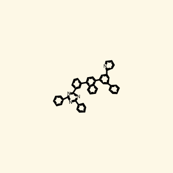 c1ccc(-c2cc(-c3ccccn3)cc(-c3ccc(-c4cccc(-c5nc(-c6ccccc6)nc(-c6ccccc6)n5)c4)c4ccccc34)c2)cc1